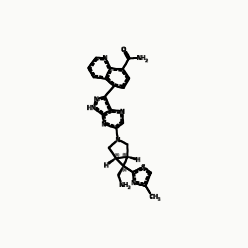 Cc1csc([C@]2(CN)[C@@H]3CN(c4cnc5c(-c6ccc(C(N)=O)c7ncccc67)n[nH]c5n4)C[C@@H]32)n1